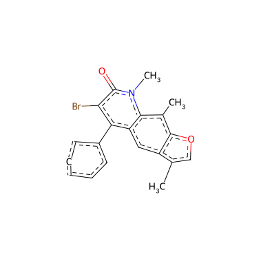 Cc1coc2c(C)c3c(cc12)c(-c1ccccc1)c(Br)c(=O)n3C